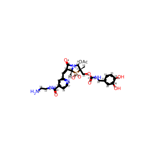 CC(=O)O[C@@H]1N2C(=O)/C(=C/c3cc(C(=O)NCCN)ccn3)[C@H]2S(=O)(=O)[C@@]1(C)COC(=O)NCc1ccc(O)c(O)c1